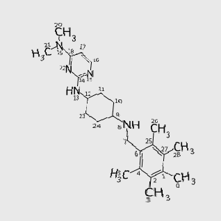 Cc1c(C)c(C)c(CNC2CCC(Nc3nccc(N(C)C)n3)CC2)c(C)c1C